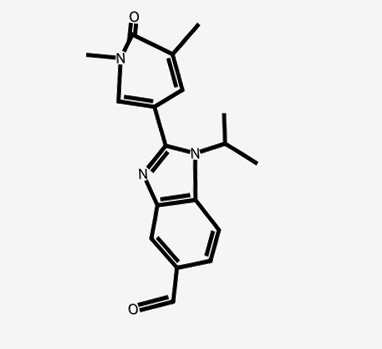 Cc1cc(-c2nc3cc(C=O)ccc3n2C(C)C)cn(C)c1=O